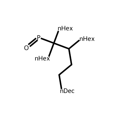 CCCCCCCCCCCCC(CCCCCC)C(CCCCCC)(CCCCCC)P=O